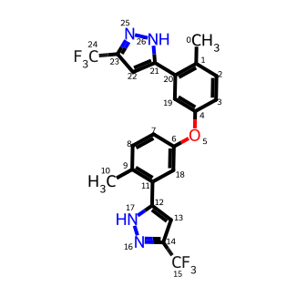 Cc1ccc(Oc2ccc(C)c(-c3cc(C(F)(F)F)n[nH]3)c2)cc1-c1cc(C(F)(F)F)n[nH]1